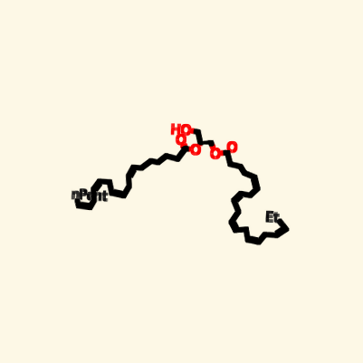 CC/C=C\C/C=C\C/C=C\C/C=C\C/C=C\CCCC(=O)OC[C@H](CO)OC(=O)CCCCC/C=C\C/C=C\C/C=C\C/C=C\CCCCC